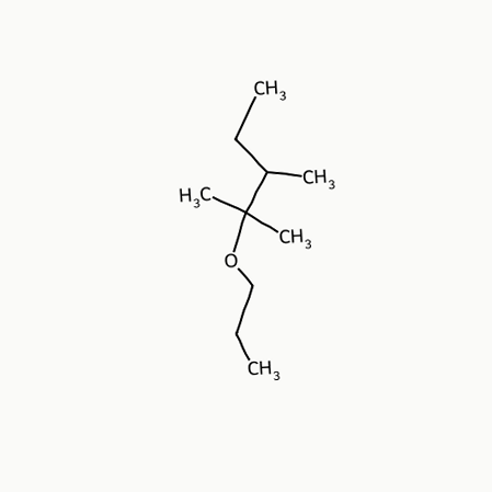 CCCOC(C)(C)C(C)CC